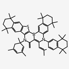 C=C1C2=C(C=C(C)C)N(c3ccc4c(c3)C(C)(C)CCC4(C)C)c3cc4c(cc3B2c2sc3cc5c(cc3c2N1C1(C)C=C(C)C=C(C)C1)C(C)(C)CCC5(C)C)C(C)(C)CCC4(C)C